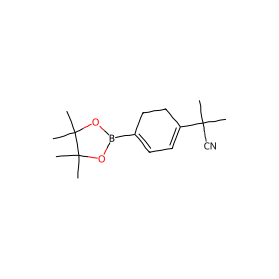 CC(C)(C#N)C1=CC=C(B2OC(C)(C)C(C)(C)O2)CC1